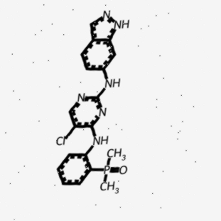 CP(C)(=O)c1ccccc1Nc1nc(Nc2ccc3cn[nH]c3c2)ncc1Cl